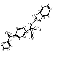 CC(C#N)(Sc1nc2ccccc2s1)c1ccc(C(=O)c2cccs2)cc1